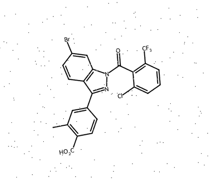 Cc1cc(-c2nn(C(=O)c3c(Cl)cccc3C(F)(F)F)c3cc(Br)ccc23)ccc1C(=O)O